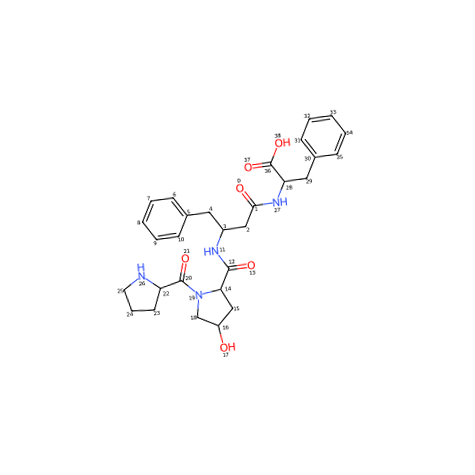 O=C(CC(Cc1ccccc1)NC(=O)C1CC(O)CN1C(=O)C1CCCN1)NC(Cc1ccccc1)C(=O)O